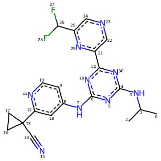 CC(C)Nc1nc(Nc2ccnc(C3(C#N)CC3)c2)nc(-c2cncc(C(F)F)n2)n1